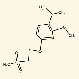 COc1cc(OCCS(C)(=O)=O)ccc1C(C)C